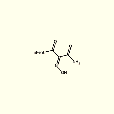 CCCCCC(=O)C(=NO)C(N)=O